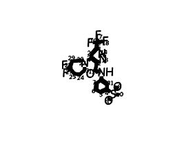 CS(=O)(=O)c1cccc(NC(=O)c2nnc(C(F)(F)F)cc2N2CCCC(F)(F)CC2)c1